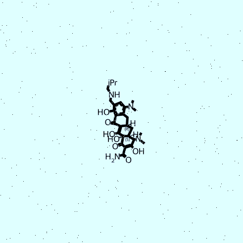 CC(C)CNCc1cc(N(C)C)c2c(c1O)C(=O)C1=C(O)[C@]3(O)C(=O)C(C(N)=O)=C(O)C(N(C)C)[C@@H]3C[C@@H]1C2